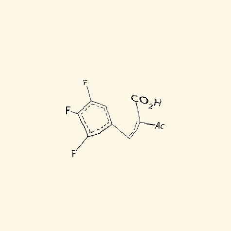 CC(=O)/C(=C/c1cc(F)c(F)c(F)c1)C(=O)O